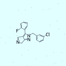 Fc1ccccc1-c1c2c(nn1Cc1cccc(Cl)c1)CN=C2